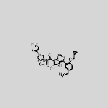 CCC(=O)N1C[C@H](O)[C@H](NC(=O)c2c(C)[nH]c3c(-c4cc(CC)ccc4OCC4CC4)ncnc23)C1